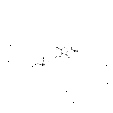 CCC(C)SC1CC(=O)N(CCCCCC(=O)NC(C)C)C1=O